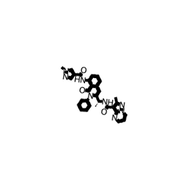 Cc1nn2cccnc2c1C(=O)N[C@H](C)c1cc2cccc(NC(=O)c3cnn(C)c3)c2c(=O)n1-c1ccccc1